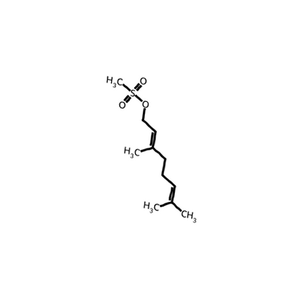 CC(C)=CCC/C(C)=C/COS(C)(=O)=O